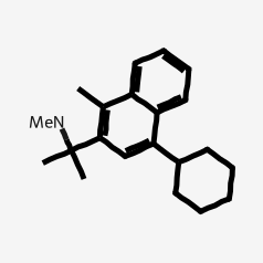 CNC(C)(C)c1cc(C2CCCCC2)c2ccccc2c1C